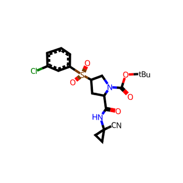 CC(C)(C)OC(=O)N1CC(S(=O)(=O)c2cccc(Cl)c2)CC1C(=O)NC1(C#N)CC1